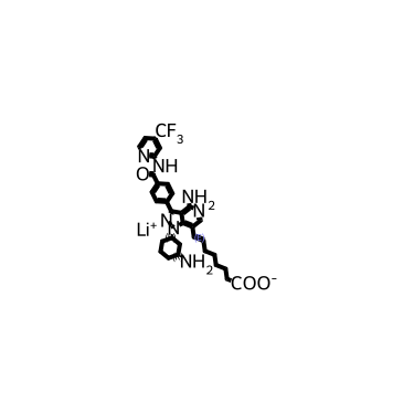 Nc1ncc(/C=C/CCCCCC(=O)[O-])c2c1c(-c1ccc(C(=O)Nc3cc(C(F)(F)F)ccn3)cc1)nn2[C@@H]1CCC[C@@H](N)C1.[Li+]